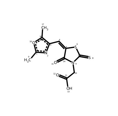 Cc1nc(C=C2SC(=S)N(CC(=O)O)C2=O)c(C)o1